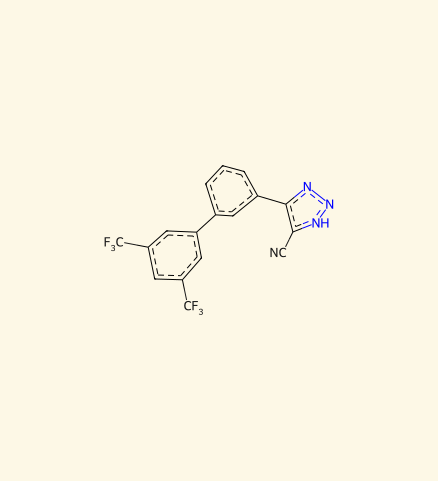 N#Cc1[nH]nnc1-c1cccc(-c2cc(C(F)(F)F)cc(C(F)(F)F)c2)c1